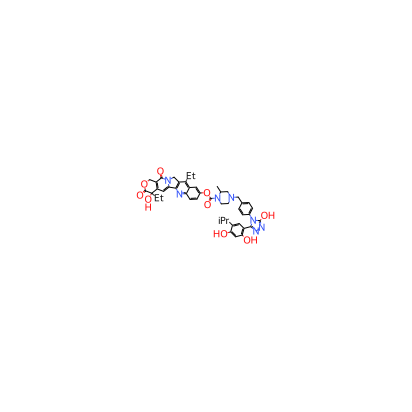 CCc1c2c(nc3ccc(OC(=O)N4CCN(Cc5ccc(-n6c(O)nnc6-c6cc(C(C)C)c(O)cc6O)cc5)CC4C)cc13)-c1cc3c(c(=O)n1C2)COC(=O)C3(O)CC